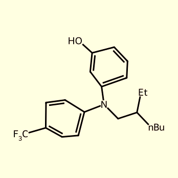 CCCCC(CC)CN(c1ccc(C(F)(F)F)cc1)c1cccc(O)c1